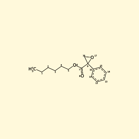 CCCCCCOC(=O)C1(c2ccccc2)CO1